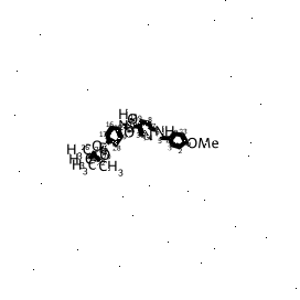 COc1ccc(CNc2ccc(S(=O)(=O)Nc3ccc(B4OC(C)(C)C(C)(C)O4)cc3)cn2)cc1